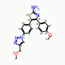 COCc1cn(-c2ccc(-c3sc(N)nc3-c3ccc(OC)cc3)cc2)nn1